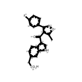 Cc1onc(-c2ccc(F)cc2)c1C(=O)c1c[nH]c2cc(CC(=O)O)ccc12